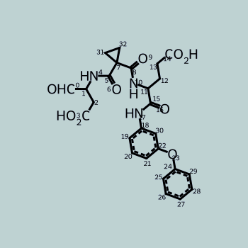 O=CC(CC(=O)O)NC(=O)C1(C(=O)NC(CCC(=O)O)C(=O)Nc2cccc(Oc3ccccc3)c2)CC1